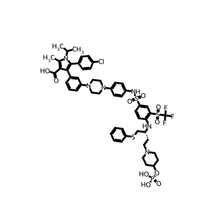 Cc1c(C(=O)O)c(-c2cccc(N3CCN(c4ccc(NS(=O)(=O)c5ccc(N[C@H](CCN6CCC(OP(=O)(O)O)CC6)CSc6ccccc6)c(S(=O)(=O)C(F)(F)F)c5)cc4)CC3)c2)c(-c2ccc(Cl)cc2)n1C(C)C